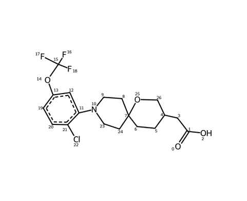 O=C(O)CC1CCC2(CCN(c3cc(OC(F)(F)F)ccc3Cl)CC2)OC1